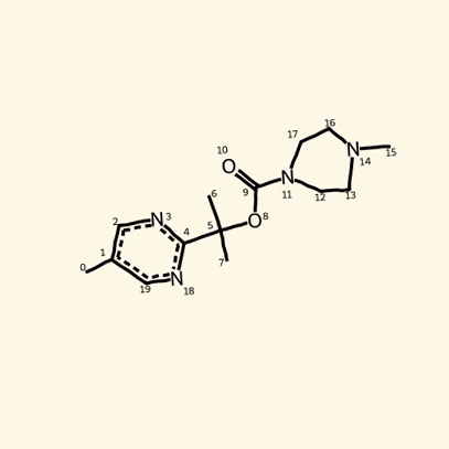 Cc1cnc(C(C)(C)OC(=O)N2CCN(C)CC2)nc1